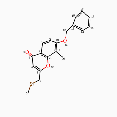 CSCc1cc(=O)c2ccc(OCc3ccccc3)c(C)c2o1